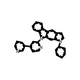 c1ccc(-n2ccc3cc4c5ccccc5n(-c5cc(-c6cccnc6)ccn5)c4cc32)cc1